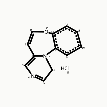 C1=CC2=CN=CCN2c2ccccc2O1.Cl